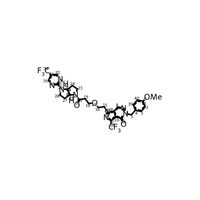 COc1ccc(Cn2ncc3c(c(C(F)(F)F)nn3CCOCCC(=O)N3CC[C@H]4[C@@H]3CCN4c3ncc(C(F)(F)F)cn3)c2=O)cc1